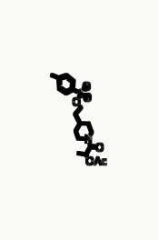 CC(=O)OC(C)C(=O)N1CCC(CCOS(=O)(=O)c2ccc(C)cc2)CC1